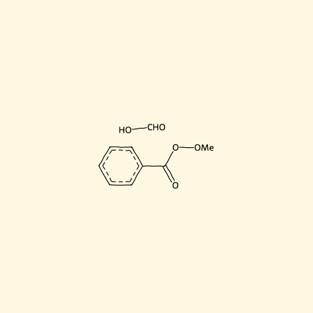 COOC(=O)c1ccccc1.O=CO